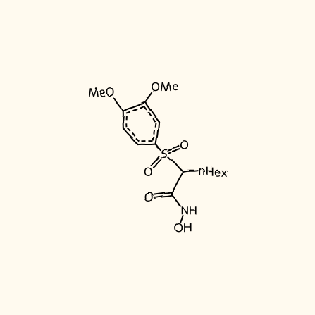 CCCCCCC(C(=O)NO)S(=O)(=O)c1ccc(OC)c(OC)c1